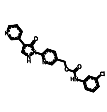 O=C(Nc1cccc(Cl)c1)OCc1ccc(-n2[nH]cc(-c3cccnc3)c2=O)nc1